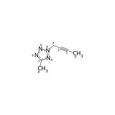 CC#CCn1nnc(C)n1